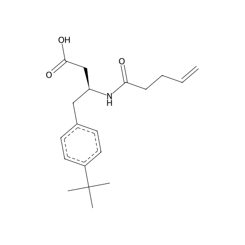 C=CCCC(=O)N[C@H](CC(=O)O)Cc1ccc(C(C)(C)C)cc1